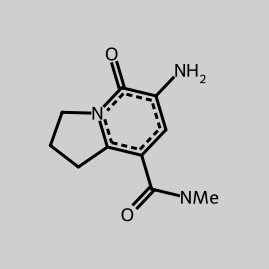 CNC(=O)c1cc(N)c(=O)n2c1CCC2